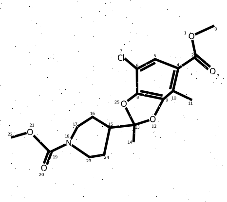 COC(=O)c1cc(Cl)c2c(c1C)OC(C)(C1CCN(C(=O)OC)CC1)O2